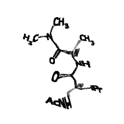 CC(=O)N[C@H](C(=O)N[C@@H](C)C(=O)N(C)C)C(C)C